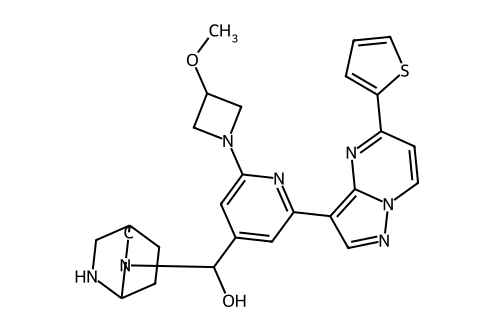 COC1CN(c2cc(C(O)N3CC4CCC(C3)NC4)cc(-c3cnn4ccc(-c5cccs5)nc34)n2)C1